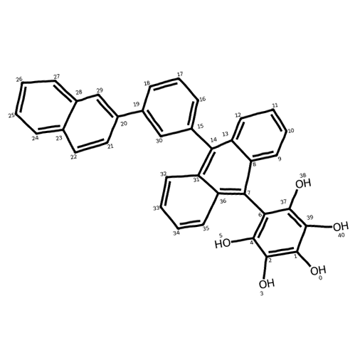 Oc1c(O)c(O)c(-c2c3ccccc3c(-c3cccc(-c4ccc5ccccc5c4)c3)c3ccccc23)c(O)c1O